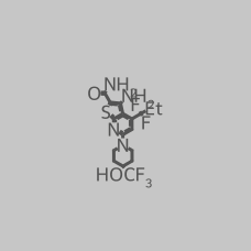 CCC(F)(F)c1cc(N2CCC(O)(C(F)(F)F)CC2)nc2sc(C(N)=O)c(N)c12